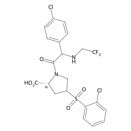 O=C(O)[C@H]1CC(S(=O)(=O)c2ccccc2Cl)CN1C(=O)C(NCC(F)(F)F)c1ccc(Cl)cc1